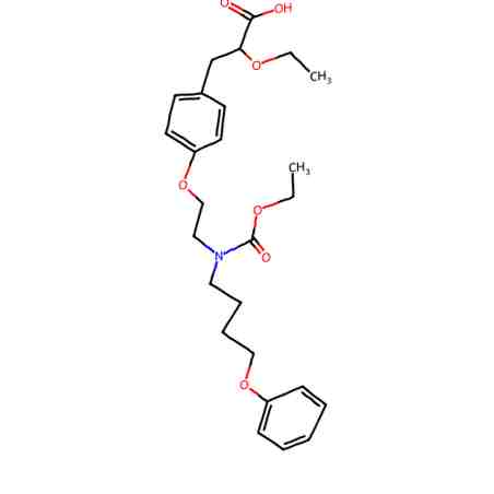 CCOC(=O)N(CCCCOc1ccccc1)CCOc1ccc(CC(OCC)C(=O)O)cc1